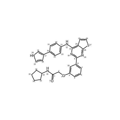 O=C(COc1cccc(-c2nc(Nc3ccc(-c4cn[nH]c4)cc3)c3ccsc3n2)c1)NC1CCCC1